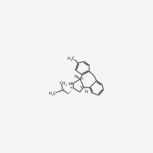 Cc1ccc2c(c1)[C@H]1N[C@@H](CN(C)C)C[C@@H]1c1ccccc1C2